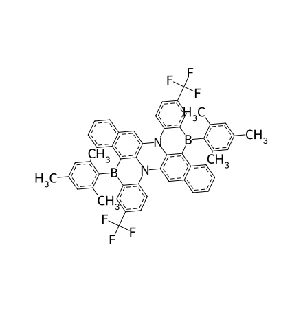 Cc1cc(C)c(B2c3cc(C(F)(F)F)ccc3N3c4cc5ccccc5c5c4N(c4ccc(C(F)(F)F)cc4B5c4c(C)cc(C)cc4C)c4cc5ccccc5c2c43)c(C)c1